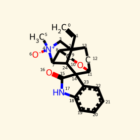 C=CC12C[N+](C)([O-])C3C4COC(CC41)C1(C(=O)Nc4ccccc41)C32